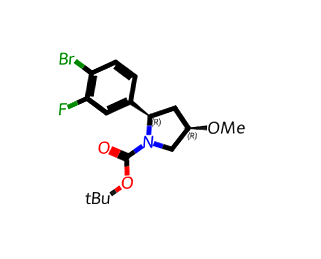 CO[C@@H]1C[C@H](c2ccc(Br)c(F)c2)N(C(=O)OC(C)(C)C)C1